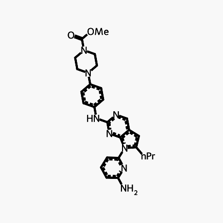 CCCc1cc2cnc(Nc3ccc(N4CCN(C(=O)OC)CC4)cc3)nc2n1-c1cccc(N)n1